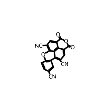 N#Cc1ccc2oc3c(C#N)cc4c(=O)oc(=O)c5cc(C#N)c(c2c1)c3c45